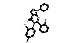 O=c1c2cnn(-c3ccccc3)c2nc(-c2ccccc2F)n1-c1ccc(Cl)cc1Cl